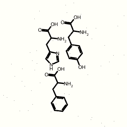 NC(Cc1c[nH]cn1)C(=O)O.NC(Cc1ccc(O)cc1)C(=O)O.NC(Cc1ccccc1)C(=O)O